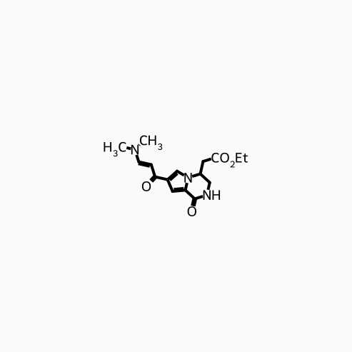 CCOC(=O)CC1CNC(=O)c2cc(C(=O)/C=C/N(C)C)cn21